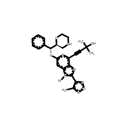 CCn1c(-c2nonc2N)nc2c(C#CC(C)(C)O)nc(O[C@H](c3ccccc3)[C@@H]3CNCCO3)cc21